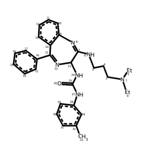 CCN(CC)CCCNC1=Nc2ccccc2C(c2ccccc2)=NC1NC(=O)Nc1cccc(C)c1